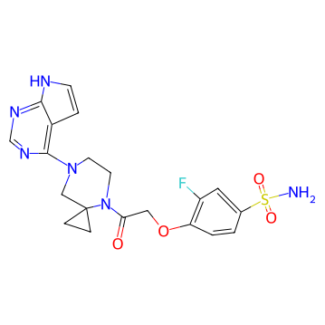 NS(=O)(=O)c1ccc(OCC(=O)N2CCN(c3ncnc4[nH]ccc34)CC23CC3)c(F)c1